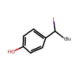 CC(C)(C)C(I)c1ccc(O)cc1